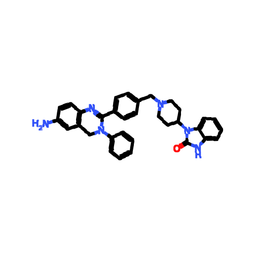 Nc1ccc2c(c1)CN(c1ccccc1)C(c1ccc(CN3CCC(n4c(=O)[nH]c5ccccc54)CC3)cc1)=N2